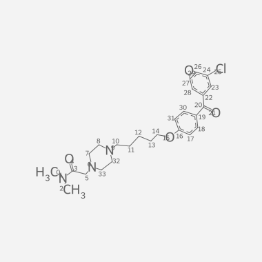 CN(C)C(=O)CN1CCN(CCCCCOc2ccc(C(=O)c3cc(Cl)c4c(c3)O4)cc2)CC1